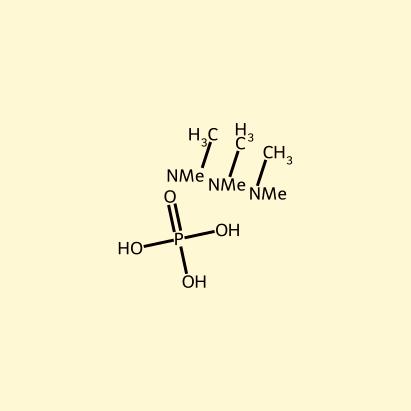 CNC.CNC.CNC.O=P(O)(O)O